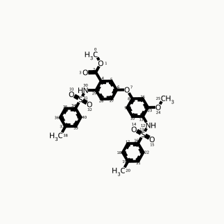 COC(=O)c1cc(Oc2ccc(NS(=O)(=O)c3ccc(C)cc3)c(OC)c2)ccc1NS(=O)(=O)c1ccc(C)cc1